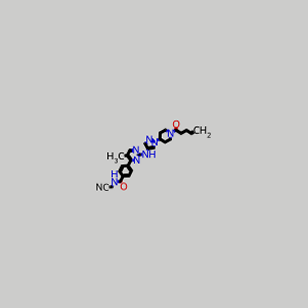 C=CCCC(=O)N1CCC(n2cc(Nc3ncc(C)c(-c4ccc(C(=O)NCC#N)cc4)n3)cn2)CC1